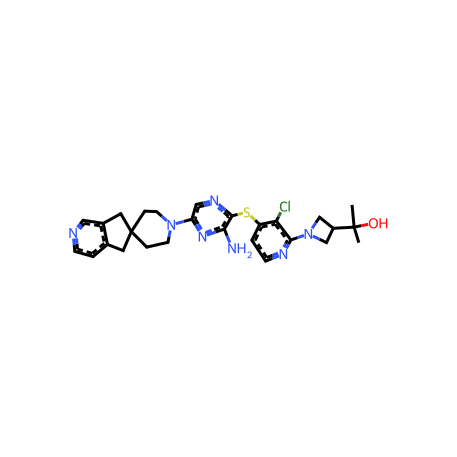 CC(C)(O)C1CN(c2nccc(Sc3ncc(N4CCC5(CC4)Cc4ccncc4C5)nc3N)c2Cl)C1